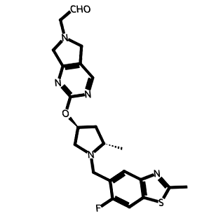 Cc1nc2cc(CN3C[C@@H](Oc4ncc5c(n4)CN(CC=O)C5)C[C@@H]3C)c(F)cc2s1